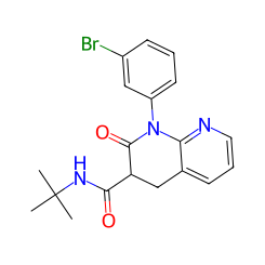 CC(C)(C)NC(=O)C1Cc2cccnc2N(c2cccc(Br)c2)C1=O